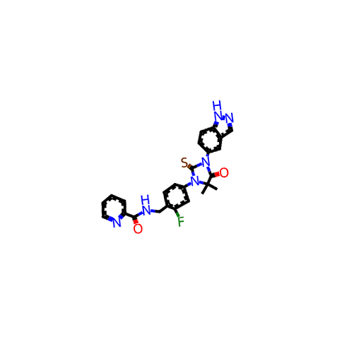 CC1(C)C(=O)N(c2ccc3[nH]ncc3c2)C(=S)N1c1ccc(CNC(=O)c2ccccn2)c(F)c1